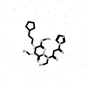 CC(C)C[C@@H](C(=O)NN(CC(C)C)C(=O)CC(=O)n1ccnc1)[C@H](CCCC1CCCC1)C(=O)OC(C)(C)C